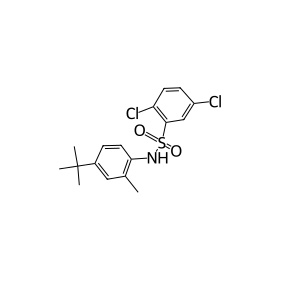 Cc1cc(C(C)(C)C)ccc1NS(=O)(=O)c1cc(Cl)ccc1Cl